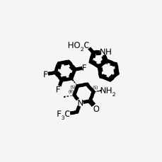 C[C@@H]1[C@H](c2c(F)ccc(F)c2F)C[C@H](N)C(=O)N1CC(F)(F)F.O=C(O)c1cc2ccccc2[nH]1